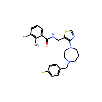 Cc1c(Cl)cccc1C(=O)NCc1scnc1N1CCCN(Cc2ccc(F)cc2)CC1